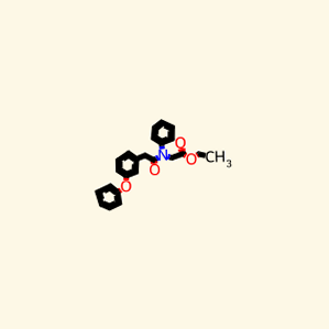 CCOC(=O)CN(C(=O)Cc1cccc(Oc2ccccc2)c1)c1ccccc1